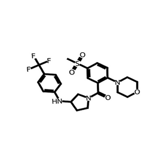 CS(=O)(=O)c1ccc(N2CCOCC2)c(C(=O)N2CCC(Nc3ccc(C(F)(F)F)cc3)C2)c1